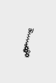 O=C(O)CCCCCCCCCCOc1ccc2c(=O)c(-c3ccccc3)coc2c1